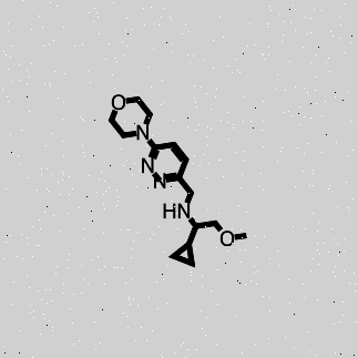 COCC(NCc1ccc(N2CCOCC2)nn1)C1CC1